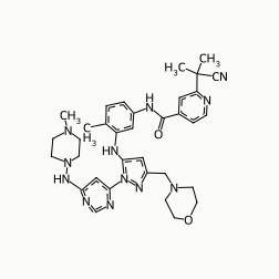 Cc1ccc(NC(=O)c2ccnc(C(C)(C)C#N)c2)cc1Nc1cc(CN2CCOCC2)nn1-c1cc(NN2CCN(C)CC2)ncn1